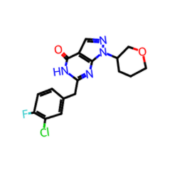 O=c1[nH]c(Cc2ccc(F)c(Cl)c2)nc2c1cnn2C1CCCOC1